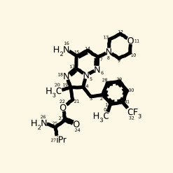 Cc1c(CC2N3N=C(N4CCOCC4)C=C(N)C3=NC2(C)COC(=O)C(N)C(C)C)cccc1C(F)(F)F